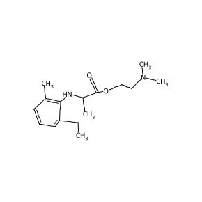 CCc1cccc(C)c1NC(C)C(=O)OCCN(C)C